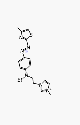 CCN(CCn1cc[n+](C)c1)c1ccc(/N=N/c2nc(C)cs2)cc1